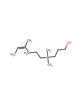 CC=C(C)[SiH2]CC[Si](C)(C)CCCO